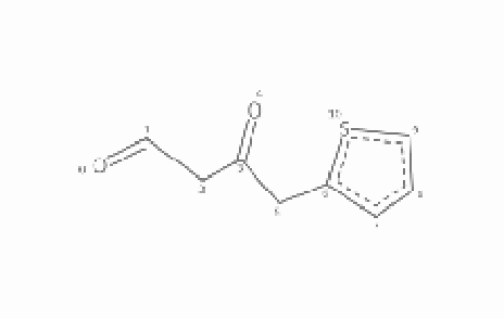 O=CCC(=O)Cc1cccs1